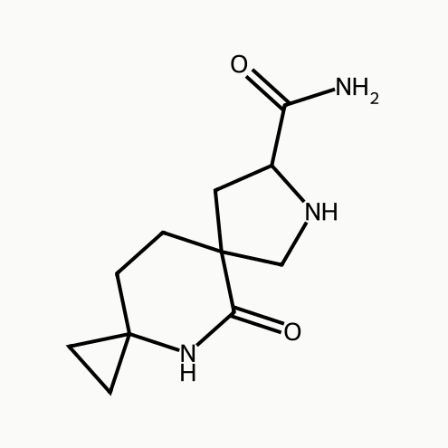 NC(=O)C1CC2(CCC3(CC3)NC2=O)CN1